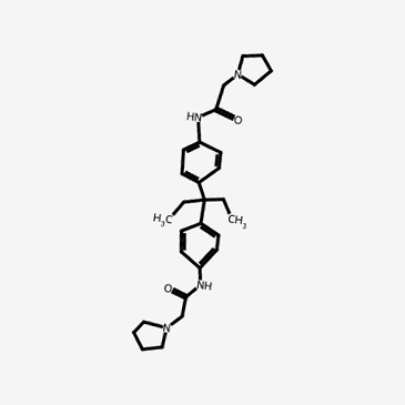 CCC(CC)(c1ccc(NC(=O)CN2CCCC2)cc1)c1ccc(NC(=O)CN2CCCC2)cc1